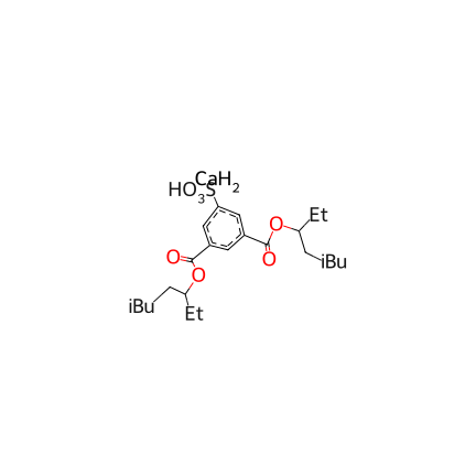 CCC(C)CC(CC)OC(=O)c1cc(C(=O)OC(CC)CC(C)CC)cc(S(=O)(=O)O)c1.[CaH2]